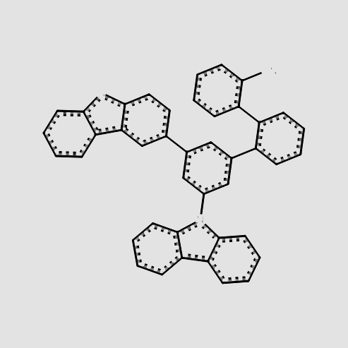 N#Cc1ccccc1-c1ccccc1-c1cc(-c2ccc3sc4ccccc4c3c2)cc(-n2c3ccccc3c3ccccc32)c1